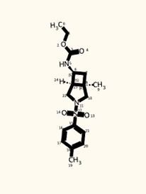 CCOC(=O)N[C@H]1C[C@@]2(C)CN(S(=O)(=O)c3ccc(C)cc3)C[C@@H]12